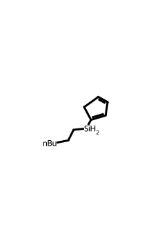 CCCCCC[SiH2]C1=CC=CC1